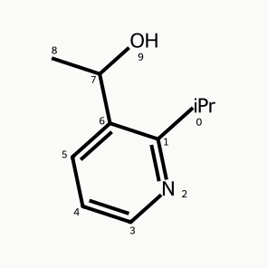 CC(C)c1ncccc1C(C)O